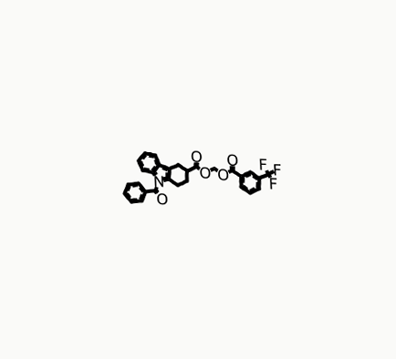 O=C(OCOC(=O)C1CCc2c(c3ccccc3n2C(=O)c2ccccc2)C1)c1cccc(C(F)(F)F)c1